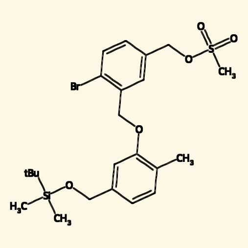 Cc1ccc(CO[Si](C)(C)C(C)(C)C)cc1OCc1cc(COS(C)(=O)=O)ccc1Br